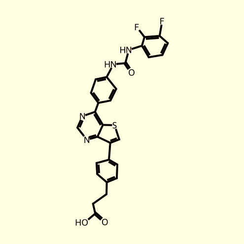 O=C(O)CCc1ccc(-c2csc3c(-c4ccc(NC(=O)Nc5cccc(F)c5F)cc4)ncnc23)cc1